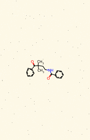 CC(C)(CCNC(=O)c1ccccc1)C(=O)c1ccccc1